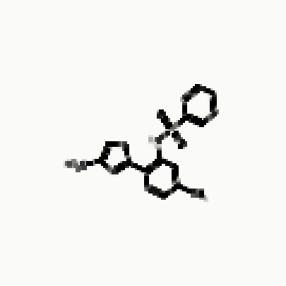 Cc1ccc(-c2cc(C(=O)O)cs2)c(NS(=O)(=O)c2ccccc2)c1